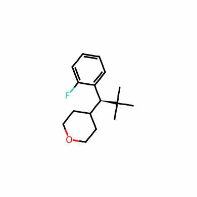 CC(C)(C)[C@H](c1ccccc1F)C1CCOCC1